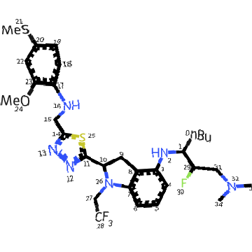 CCCCC(Nc1cccc2c1CC(c1nnc(CNc3ccc(SC)cc3OC)s1)N2CC(F)(F)F)C(F)CN(C)C